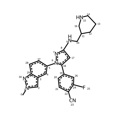 Cn1cc2cc(-n3nc(NCC4CCCNC4)cc3-c3ccc(C#N)c(F)c3)ccc2n1